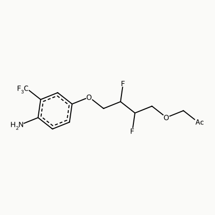 CC(=O)COCC(F)C(F)COc1ccc(N)c(C(F)(F)F)c1